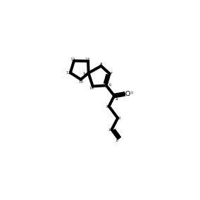 C=CCCC(=O)C1=CCC2(CCCC2)C1